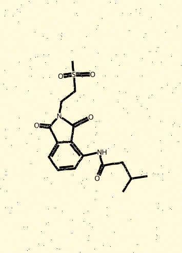 CC(C)CC(=O)Nc1cccc2c1C(=O)N(CCS(C)(=O)=O)C2=O